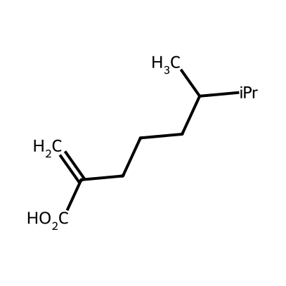 C=C(CCCC(C)C(C)C)C(=O)O